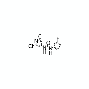 O=C(Nc1cccc(F)c1)Nc1cc(Cl)nc(Cl)c1